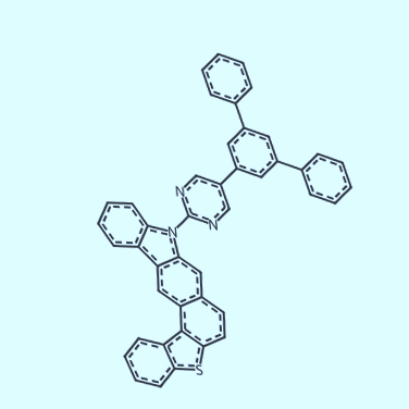 c1ccc(-c2cc(-c3ccccc3)cc(-c3cnc(-n4c5ccccc5c5cc6c(ccc7sc8ccccc8c76)cc54)nc3)c2)cc1